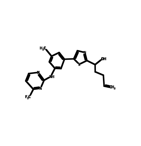 C=CCCC(O)c1ncc(-c2cc(C)cc(Nc3nccc(C(F)(F)F)n3)c2)s1